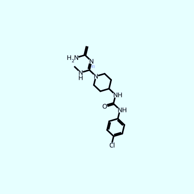 C=C(N)/N=C(\NC)N1CCC(NC(=O)Nc2ccc(Cl)cc2)CC1